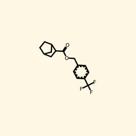 O=C(OCc1ccc(C(F)(F)F)cc1)C1CC2CCC1C2